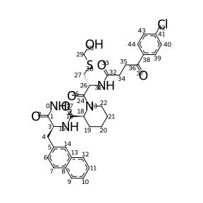 NC(=O)[C@H](Cc1ccc2ccccc2c1)NC(=O)[C@@H]1CCCCN1C(=O)[C@H](CSCO)NC(=O)CCC(=O)c1ccc(Cl)cc1